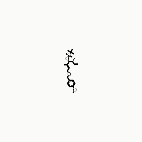 C=C[C@H](C)[C@H](O[Si](C)(C)C(C)(C)C)/C(C)=C/COCc1ccc(OC)cc1